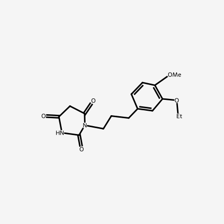 CCOc1cc(CCCN2C(=O)CC(=O)NC2=O)ccc1OC